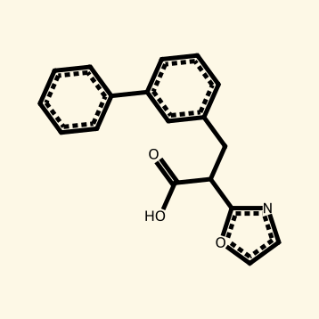 O=C(O)C(Cc1cccc(-c2ccccc2)c1)c1ncco1